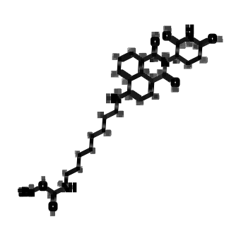 CC(C)(C)OC(=O)NCCCCCCCCNc1ccc2c3c(cccc13)C(=O)N(C1CCC(=O)NC1=O)C2=O